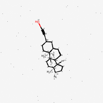 CC(=O)[C@H]1CC[C@H]2[C@@H]3CCC4CC(C#CO)CC[C@]4(C)[C@H]3CC[C@]12C